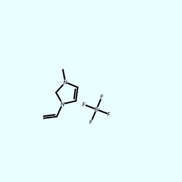 C=CN1C=CN(C)C1.F[B-](F)(F)F